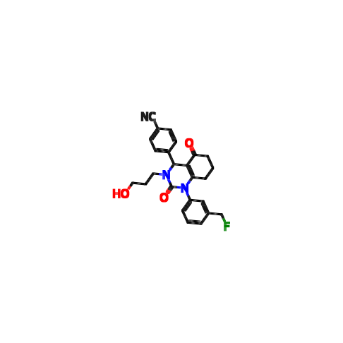 N#Cc1ccc(C2C3=C(CCCC3=O)N(c3cccc(CF)c3)C(=O)N2CCCO)cc1